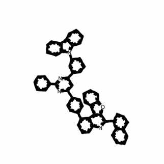 c1ccc(-c2nc(-c3ccc(-c4cccc5nc(-c6cccc7ccccc67)c6oc7ccccc7c6c45)cc3)cc(-c3cccc(-n4c5ccccc5c5ccccc54)c3)n2)cc1